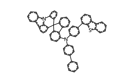 c1ccc(-c2ccc(N(c3ccc(-c4cccc5c4sc4ccccc45)cc3)c3cccc4c3-c3ccccc3C43c4ccccc4-n4c5ccccc5c5cccc3c54)cc2)cc1